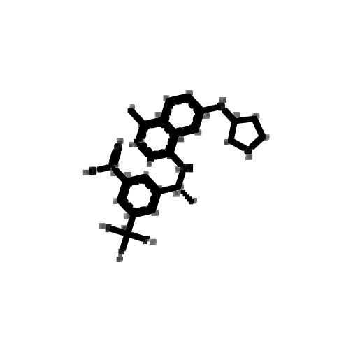 Cc1nnc(N[C@H](C)c2cc([N+](=O)[O-])cc(C(F)(F)F)c2)c2cc(OC3CCOC3)ccc12